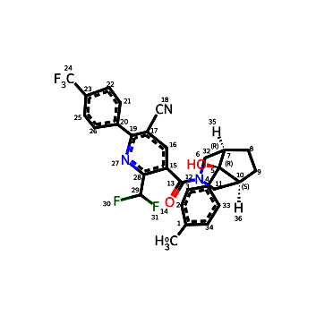 Cc1ccc([C@]2(O)[C@@H]3CC[C@H]2CN(C(=O)c2cc(C#N)c(-c4ccc(C(F)(F)F)cc4)nc2C(F)F)C3)cc1